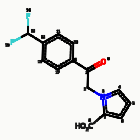 O=C(Cn1cccc1C(=O)O)c1ccc(C(F)F)cc1